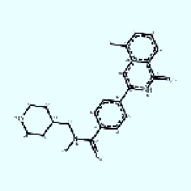 Cc1cccc2c(=O)[nH]c(-c3ccc(C(=O)N(C)CC4CCOCC4)cc3)cc12